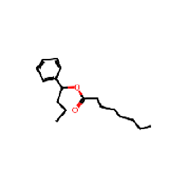 CCCCCCCC(=O)OC(CCC)c1ccccc1